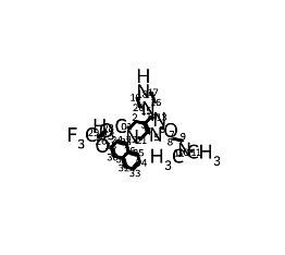 CC1Cc2c(nc(OCCN(C)C)nc2N2CCNCC2)CN1c1cc(OC(=O)C(F)(F)F)cc2ccccc12